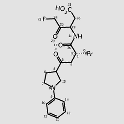 CC(C)[C@H](CC(=O)C1CCN(c2ccccc2)C1)C(=O)NC(CC(=O)O)C(=O)CF